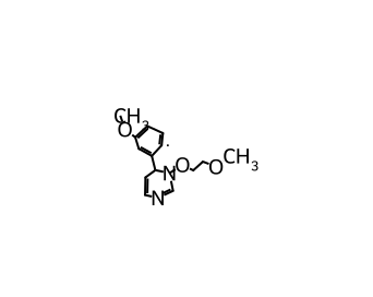 COCCON1C=NC=CC1c1[c]ccc(OC)c1